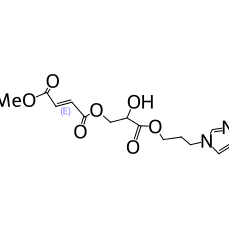 COC(=O)/C=C/C(=O)OCC(O)C(=O)OCCCn1ccnc1